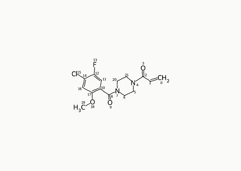 C=CC(=O)N1CCN(C(=O)c2cc(F)c(Cl)cc2OC)CC1